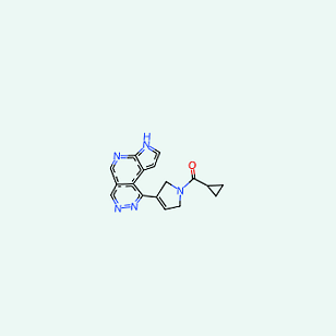 O=C(C1CC1)N1CC=C(c2nncc3cnc4[nH]ccc4c23)C1